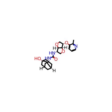 Cc1ncccc1O[C@H]1CO[C@H]2[C@@H]1OC[C@@H]2NC(=O)N[C@]12C[C@@H]3C[C@@H](C[C@@](O)(C3)C1)C2